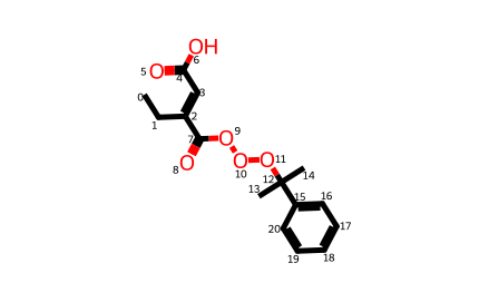 CCC(=CC(=O)O)C(=O)OOOC(C)(C)c1ccccc1